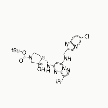 CC(C)c1cnn2c(NCc3cn4cc(Cl)ccc4n3)cc(NC[C@H]3CCN(C(=O)OC(C)(C)C)C[C@@H]3O)nc12